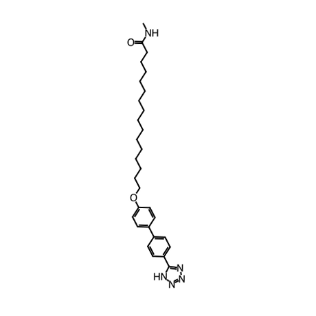 CNC(=O)CCCCCCCCCCCCCCCOc1ccc(-c2ccc(-c3nnn[nH]3)cc2)cc1